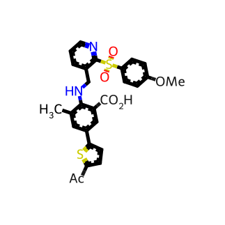 COc1ccc(S(=O)(=O)c2ncccc2CNc2c(C)cc(-c3ccc(C(C)=O)s3)cc2C(=O)O)cc1